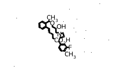 Cc1ccc(C[C@@H]2CCN2C[C@@H](O)CO[C@H](C)c2ccccc2C=CCCC(=O)O)cc1F